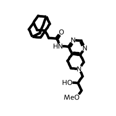 COCC(O)CN1CCc2c(ncnc2NC(=O)CC23CC4CC(CC(C4)C2)C3)C1